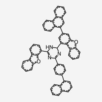 c1ccc2c(-c3ccc(C4=NC(c5cc(-c6cc7ccccc7c7ccccc67)cc6oc7ccccc7c56)NC(c5cccc6c5oc5ccccc56)=N4)cc3)cccc2c1